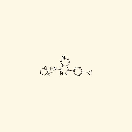 c1cc2c(-c3ccc(C4CC4)cc3)nnc(NC[C@@H]3CCCO3)c2cn1